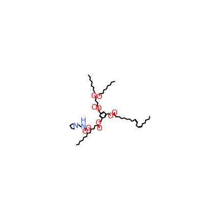 CCCCC/C=C\C/C=C\CCCCCCCC(=O)OCc1cc(COC(=O)CCC(CCCCCCCC)OC(=O)NCCN2CCCC2)cc(COC(=O)CCC(OCCCCCCCC)OCCCCCCCC)c1